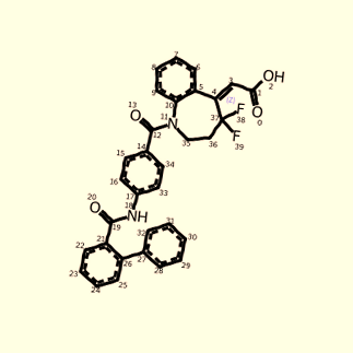 O=C(O)/C=C1/c2ccccc2N(C(=O)c2ccc(NC(=O)c3ccccc3-c3ccccc3)cc2)CCC1(F)F